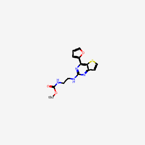 CC(C)(C)OC(=O)NCCNc1nc(-c2ccco2)c2sccc2n1